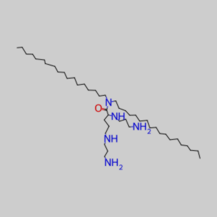 CCCCCCCCCCCCCCCCCCN(CCCCCCCCCCCCCCCCCC)C(=O)C(CCCNCCCN)NCCCN